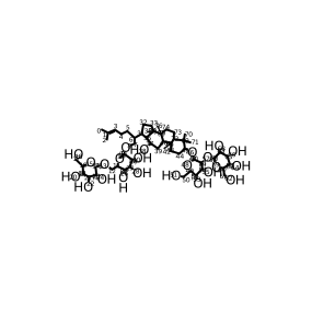 CC(C)=CCCC(CO[C@@H]1OC(CO[C@@H]2OC(CO)[C@@H](O)C(O)[C@@H]2O)[C@@H](O)C(O)[C@@H]1O)C1CC[C@@]2(C)C1C(O)CC1[C@@]3(C)CCC(O[C@@H]4OC(CO)[C@@H](O)C(O)[C@@H]4O[C@@H]4OC(CO)[C@@H](O)C(O)[C@@H]4O)C(C)(C)C3CC[C@]12C